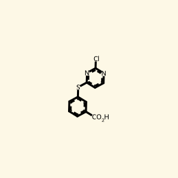 O=C(O)c1cccc(Sc2ccnc(Cl)n2)c1